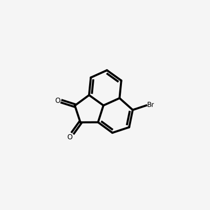 O=C1C(=O)C2=CC=C(Br)C3C=CC=C1C23